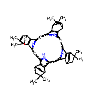 CC1(C)CC2C=CC1C1=C2c2cc3[nH]c(cc4nc(cc5[nH]c(cc1n2)c1c5C2C=CC1CC2(C)C)C1=C4C2C=CC1CC2(C)C)c1c3C2C=CC1CC2(C)C